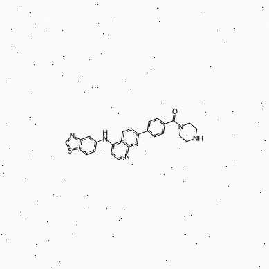 O=C(c1ccc(-c2ccc3c(Nc4ccc5scnc5c4)ccnc3c2)cc1)N1CCNCC1